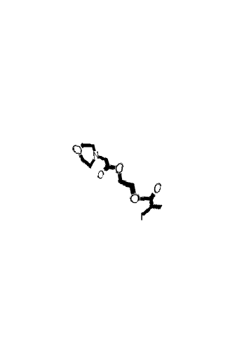 CC(I)C(=O)OCCOC(=O)CN1CCOCC1